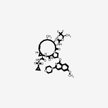 COc1ccc2c(O[C@@H]3C[C@H]4C(=O)N[C@]5(C(=O)NS(=O)(=O)C6CC6)C[C@H]5/C=C\CC[C@H](C)C[C@@H](C)[C@H](NC(=O)O[C@H](C)C(F)(F)F)C(=O)N4C3)nc(N3CCOCC3)cc2c1